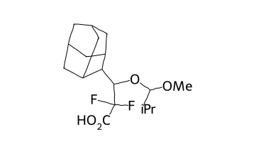 COC(OC(C1C2CC3CC(C2)CC1C3)C(F)(F)C(=O)O)C(C)C